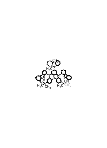 CC(C)(C)c1ccc2c(c1)N(c1cccc3c1oc1ccccc13)c1cc(N3c4ccccc4C4(C)CCCCC34C)cc3c1B2c1ccc(C(C)(C)C)cc1N3c1cccc2c1oc1ccccc12